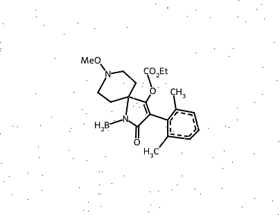 BN1C(=O)C(c2c(C)cccc2C)=C(OC(=O)OCC)C12CCN(OC)CC2